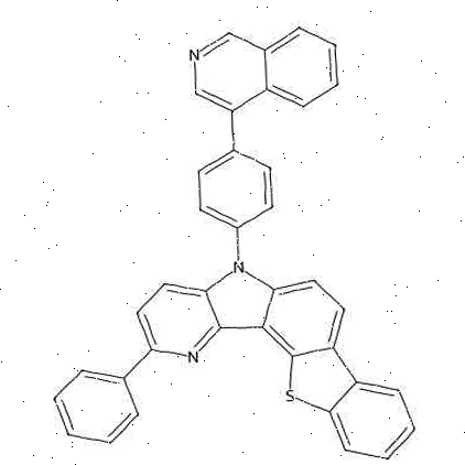 c1ccc(-c2ccc3c(n2)c2c4sc5ccccc5c4ccc2n3-c2ccc(-c3cncc4ccccc34)cc2)cc1